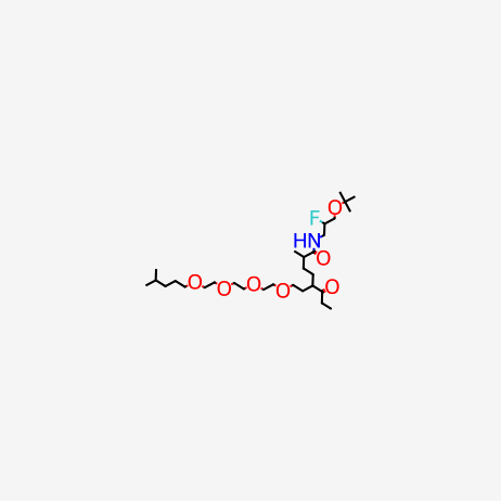 CCC(=O)C(CCOCCOCCOCCOCCCC(C)C)CCC(C)C(=O)NCC(F)COC(C)(C)C